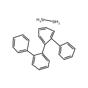 [SiH3][SiH3].c1ccc(-c2ccccc2-c2ccccc2-c2ccccc2)cc1